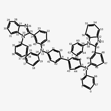 c1ccc(N(c2ccc(-c3ccc(N(c4ccccc4)c4cccc(-c5nc6ccccc6n5-c5ccccc5)c4)cc3)cc2)c2cccc(-c3nc4ccccc4n3-c3ccccc3)c2)cc1